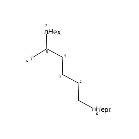 CCCCCCCCCCCC(I)CCCCCC